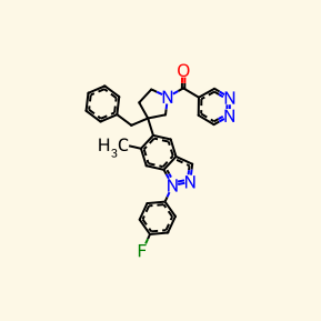 Cc1cc2c(cnn2-c2ccc(F)cc2)cc1C1(Cc2ccccc2)CCN(C(=O)c2ccnnc2)C1